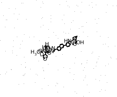 COC(=O)N[C@H](C(=O)N1[C@@H]2C[C@@H]2C[C@H]1c1nc(-c2ccc3cc(-c4ccc5nc(C6CC7CC7N6C(=O)O)[nH]c5c4)ccc3c2)c[nH]1)C1CCOCC1